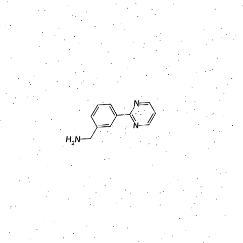 NCc1cccc(-c2ncccn2)c1